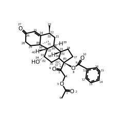 CC(=O)OCC(=O)[C@@]1(OC(=O)c2ccccc2)CC[C@H]2[C@@H]3C[C@H](C)C4=CC(=O)CC[C@]4(C)[C@H]3[C@@H](O)C[C@@]21C